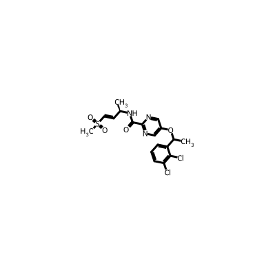 CC(Oc1cnc(C(=O)N[C@H](C)/C=C/S(C)(=O)=O)nc1)c1cccc(Cl)c1Cl